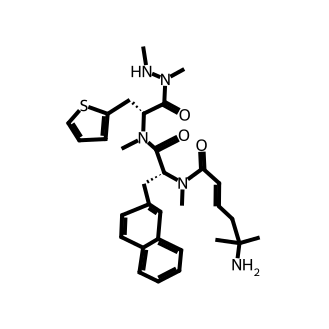 CNN(C)C(=O)[C@@H](Cc1cccs1)N(C)C(=O)[C@@H](Cc1ccc2ccccc2c1)N(C)C(=O)/C=C/CC(C)(C)N